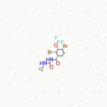 O=C(NC(=O)c1ccc(Br)c(OC(F)F)c1Br)NC1CC1